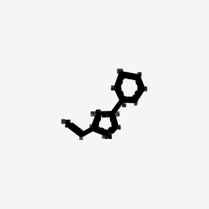 S=[C]c1ncc(-c2ccccc2)s1